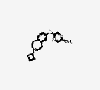 Bc1cnc(Oc2ccc3c(c2)CCN(C2CCC2)CC3)cn1